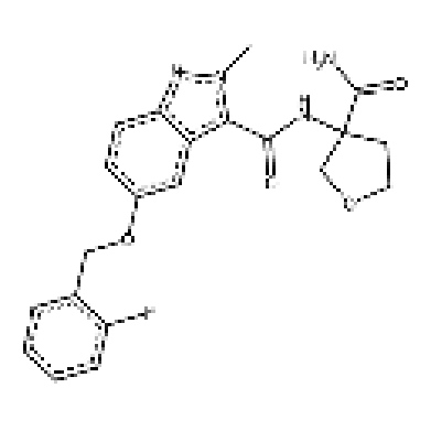 Cn1nc2ccc(OCc3ccccc3F)cc2c1C(=O)NC1(C(N)=O)CCOC1